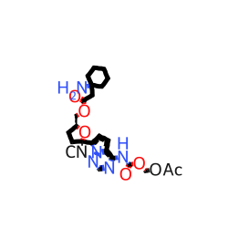 CC(=O)OCOC(=O)Nc1ncnn2c([C@@]3(C#N)CC[C@@H](COC(=O)CC4(N)CCCCC4)O3)ccc12